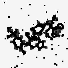 CC(C)(Sc1cnc(NC(=O)N(CC2CCCC2)c2cc(C(F)(F)F)ccc2F)s1)C(=O)O